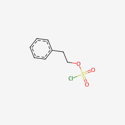 O=S(=O)(Cl)OCCc1ccccc1